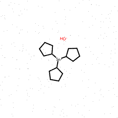 C1CC[CH]([Sn+]([CH]2CCCC2)[CH]2CCCC2)C1.[OH-]